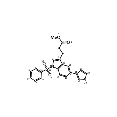 COC(=O)CCc1cn(S(=O)(=O)c2ccccc2)c2ccc(-c3ccsc3)cc12